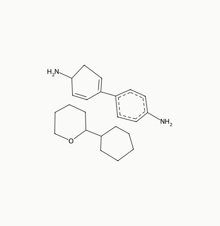 C1CCC(C2CCCCO2)CC1.Nc1ccc(C2=CCC(N)C=C2)cc1